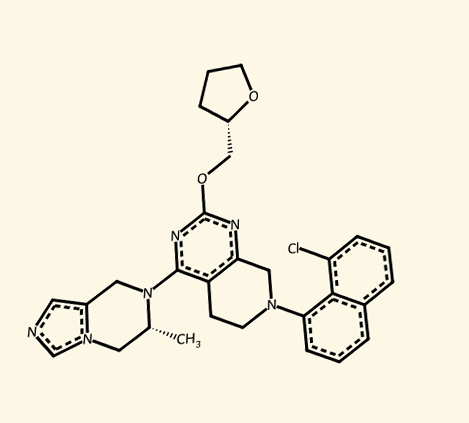 C[C@@H]1Cn2cncc2CN1c1nc(OC[C@@H]2CCCO2)nc2c1CCN(c1cccc3cccc(Cl)c13)C2